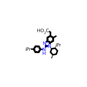 Cc1cc2c(cc1CC(=O)O)nc(Nc1ccc(C(C)C)cc1)n2[C@@H]1C[C@H](C)CC[C@H]1C(C)C